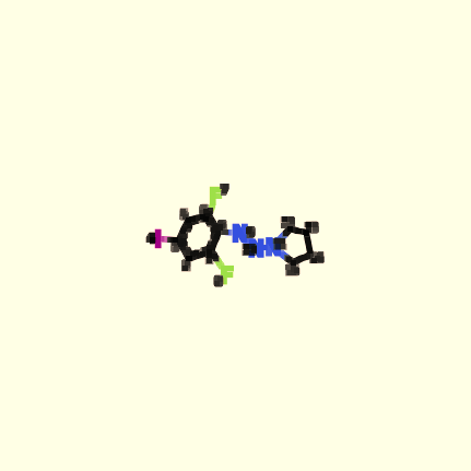 Fc1cc(I)cc(F)c1N=NN1CCCC1